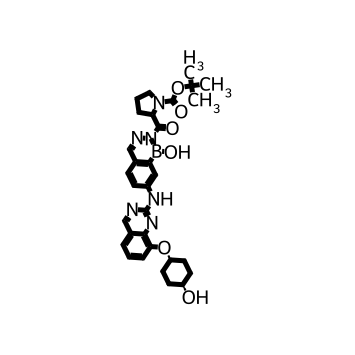 CC(C)(C)OC(=O)N1CCCC1C(=O)N1N=Cc2ccc(Nc3ncc4cccc(O[C@H]5CC[C@@H](O)CC5)c4n3)cc2B1O